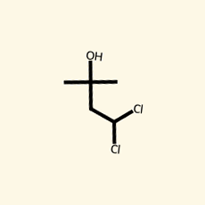 CC(C)(O)CC(Cl)Cl